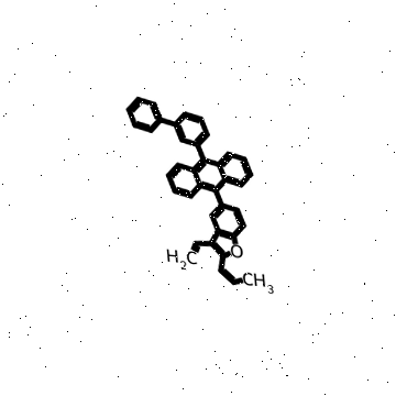 C=Cc1c(/C=C\C)oc2ccc(-c3c4ccccc4c(-c4cccc(-c5ccccc5)c4)c4ccccc34)cc12